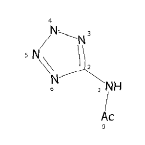 CC(=O)NC1=N[N]N=N1